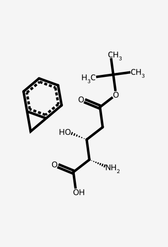 CC(C)(C)OC(=O)C[C@@H](O)[C@H](N)C(=O)O.c1ccc2c(c1)C2